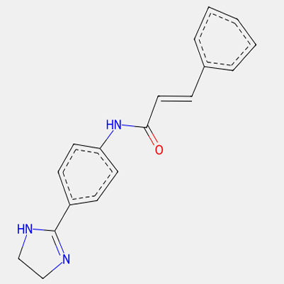 O=C(C=Cc1ccccc1)Nc1ccc(C2=NCCN2)cc1